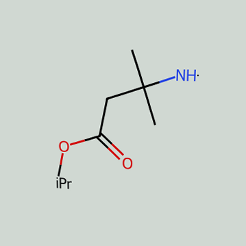 CC(C)OC(=O)CC(C)(C)[NH]